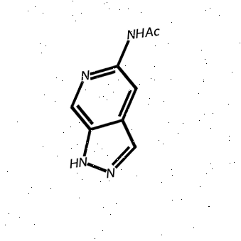 CC(=O)Nc1cc2cn[nH]c2cn1